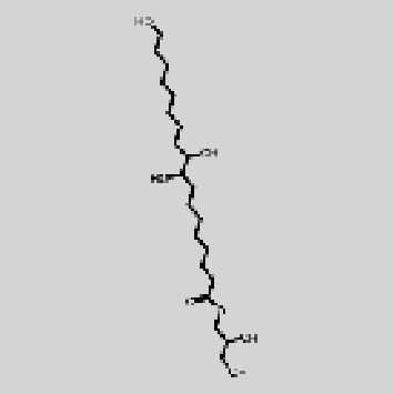 O=C(CCCCCCCC(O)C(O)CCCCCCCCO)OCC(O)CO